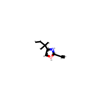 C#Cc1nc(C(C)(C)CC)co1